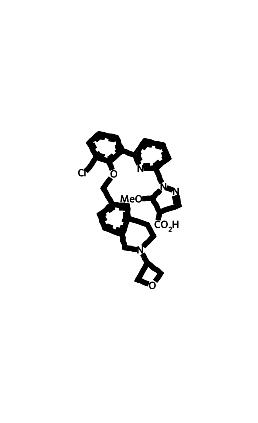 COC1C(C(=O)O)C=NN1c1cccc(-c2cccc(Cl)c2OCc2ccc3c(c2)CCN(C2COC2)C3)n1